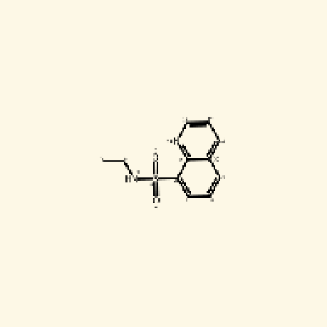 CCNS(=O)(=O)c1cccc2cccnc12